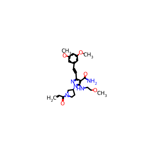 C=CC(=O)N1CC[C@H](n2nc(C#Cc3cc(OC)cc(OC)c3)c(C(N)=O)c2NCCOC)C1